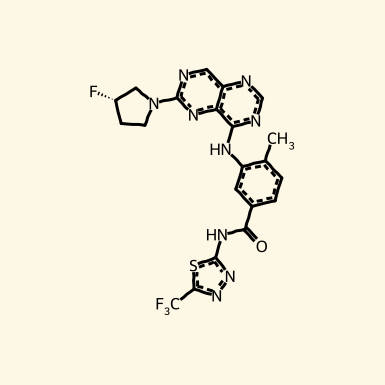 Cc1ccc(C(=O)Nc2nnc(C(F)(F)F)s2)cc1Nc1ncnc2cnc(N3CC[C@H](F)C3)nc12